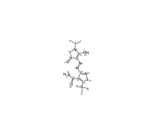 CC(C)N1CC(=O)C(N=Nc2nsc(C(C)(C)C)c2C(N)=O)=C1O